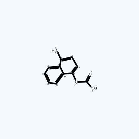 CC(C)(C)C(=O)Oc1ccc(N)c2ccccc12